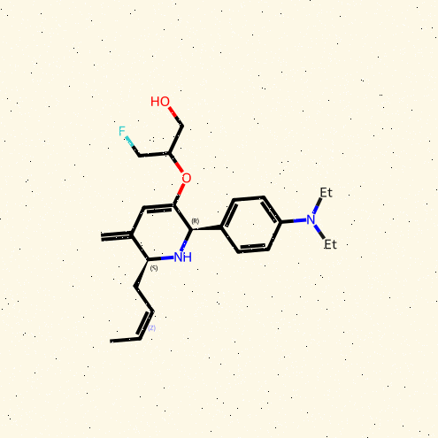 C=C1C=C(OC(CO)CF)[C@@H](c2ccc(N(CC)CC)cc2)N[C@H]1C/C=C\C